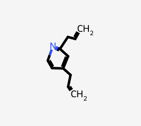 C=CCc1ccnc(CC=C)c1